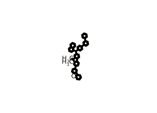 CC1(C)c2cc(-c3ccc4oc5ccccc5c4c3)ccc2-c2ccc(C(c3ccc(-c4cccc(-c5ccccc5)c4)cc3)c3cccc4ccccc34)cc21